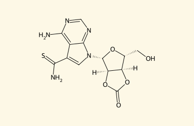 NC(=S)c1cn([C@@H]2O[C@H](CO)[C@H]3OC(=O)O[C@H]32)c2ncnc(N)c12